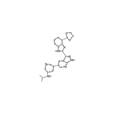 CC(C)Nc1cncc(-c2cnc3[nH]nc(-c4nc5c(-c6ccsc6)cccc5[nH]4)c3c2)c1